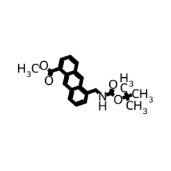 COC(=O)c1cccc2cc3c(CNC(=O)OC(C)(C)C)cccc3cc12